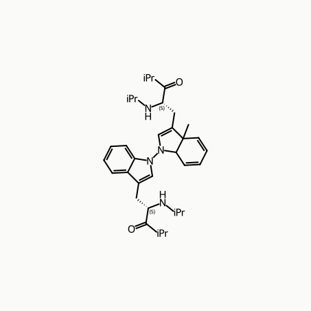 CC(C)N[C@@H](CC1=CN(n2cc(C[C@H](NC(C)C)C(=O)C(C)C)c3ccccc32)C2C=CC=CC12C)C(=O)C(C)C